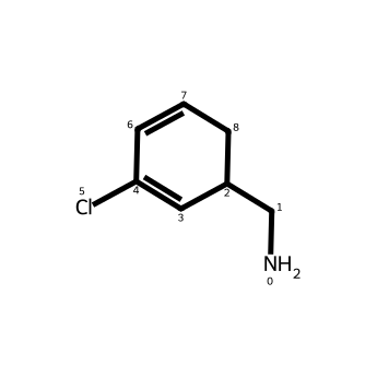 NCC1C=C(Cl)C=CC1